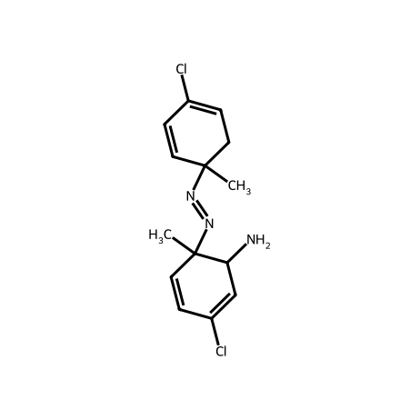 CC1(N=NC2(C)C=CC(Cl)=CC2N)C=CC(Cl)=CC1